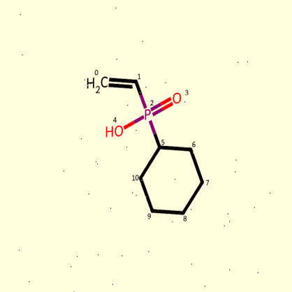 C=CP(=O)(O)C1CCCCC1